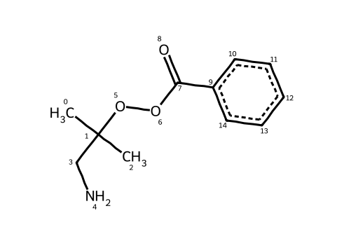 CC(C)(CN)OOC(=O)c1ccccc1